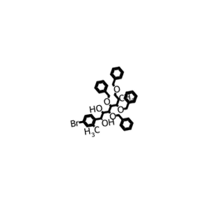 Cc1cc(Br)ccc1[C@@H](O)C(O)C(OCc1ccccc1)C(OCc1ccccc1)C(OCc1ccccc1)C(C)COCc1ccccc1